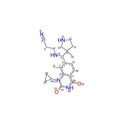 Cc1c(C(NCCC#N)C2(C)CCNC2)ccc2c(=O)[nH]c(=O)n(C3CC3)c12